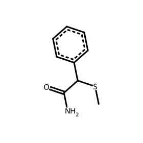 CSC(C(N)=O)c1ccccc1